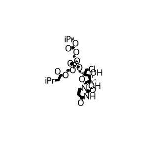 CC(C)CC(=O)OCOP(=O)(OCOC(=O)OC(C)C)OC[C@@]1(CCl)O[C@@H](n2ccc(=O)[nH]c2=O)[C@](C)(O)[C@@H]1O